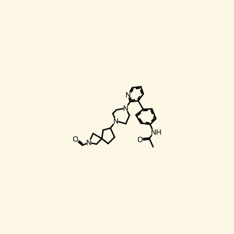 CC(=O)Nc1ccc(-c2cccnc2N2CCN(C3CCC4(C3)CN(C=O)C4)CC2)cc1